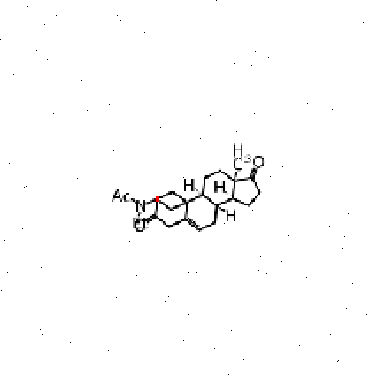 CCN(CCC12CCC(=O)CC1=CC[C@@H]1[C@@H]2CC[C@]2(C)C(=O)CC[C@@H]12)C(C)=O